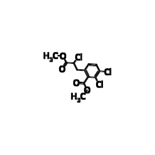 COC(=O)c1c(CC(Cl)C(=O)OC)ccc(Cl)c1Cl